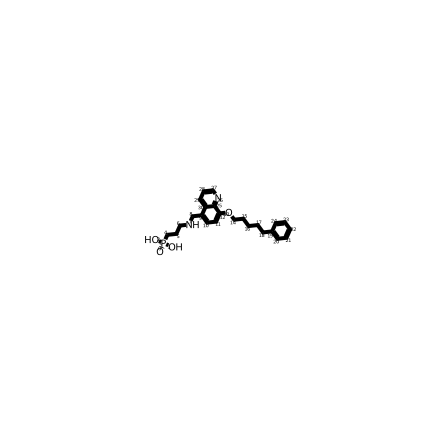 O=P(O)(O)CCCNCc1ccc(OCCCCCc2ccccc2)c2ncccc12